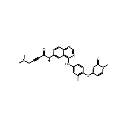 Cc1cc(Nc2ncnc3ccc(NC(=O)C#CCN(C)C)cc23)ccc1Oc1ccn(C)c(=O)c1